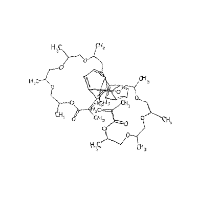 C=C(C)C(=O)OC(C)COC(C)COC(C)COC(C)COC1=CC2=CC=C1C2C1(C)C2=CC=C1C(OCC(C)OCC(C)OCC(C)OCC(C)OC(=O)C(=C)C)=C2